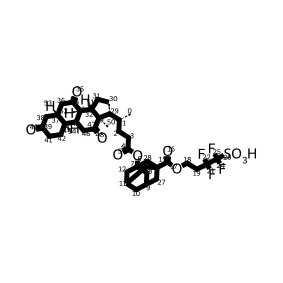 C[C@H](CCC(=O)OC12CC3CC(C1)CC(C(=O)OCCC(F)(F)C(F)(F)S(=O)(=O)O)(C3)C2)[C@H]1CC[C@H]2[C@@H]3C(=O)C[C@@H]4CC(=O)CC[C@]4(C)[C@H]3CC(=O)[C@]12C